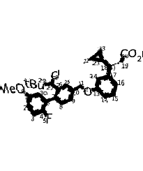 COc1ccc(F)c(-c2ccc(COc3cccc([C@@H](CC(=O)O)C4CC4)c3)cc2C(Cl)C(C)(C)C)c1